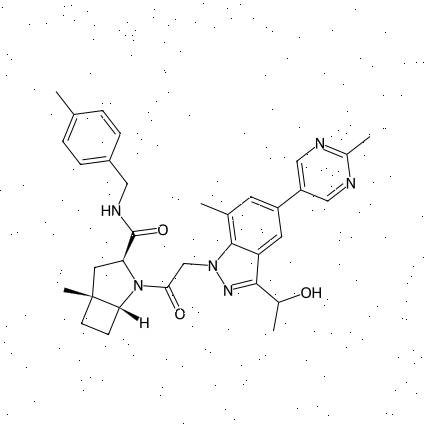 Cc1ccc(CNC(=O)[C@@H]2C[C@@]3(C)CC[C@H]3N2C(=O)Cn2nc(C(C)O)c3cc(-c4cnc(C)nc4)cc(C)c32)cc1